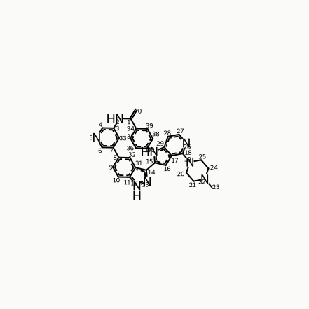 C=C(Nc1cncc(-c2ccc3[nH]nc(-c4cc5c(N6CCN(C)CC6)nccc5[nH]4)c3c2)c1)c1ccccc1